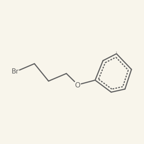 BrCCCOc1c[c]ccc1